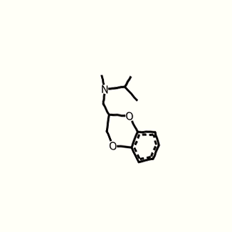 CC(C)N(C)CC1COc2ccccc2O1